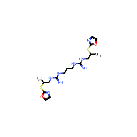 CC(CNC(=N)NCCCNC(=N)NCC(C)Sc1ncco1)Sc1ncco1